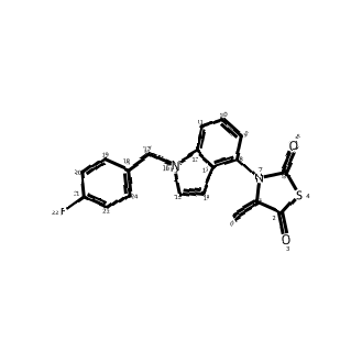 C=C1C(=O)SC(=O)N1c1cccc2c1ccn2Cc1ccc(F)cc1